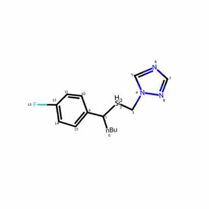 CCCCC([SiH2]Cn1cncn1)c1ccc(F)cc1